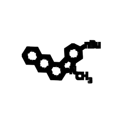 CCCCc1ccc2c3c4cc5ccccc5cc4ccc3n(C)c2c1